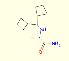 CC(NC(C1CCC1)C1CCC1)C(N)=O